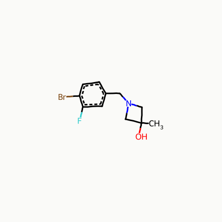 CC1(O)CN(Cc2ccc(Br)c(F)c2)C1